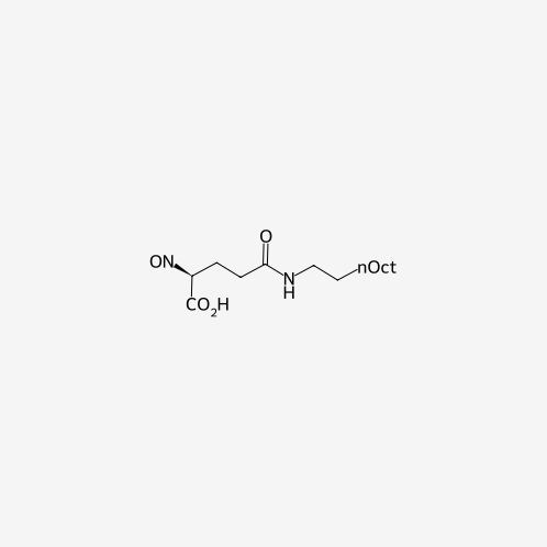 CCCCCCCCCCNC(=O)CC[C@H](N=O)C(=O)O